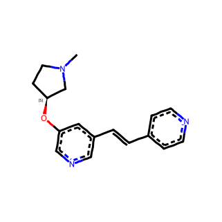 CN1CC[C@H](Oc2cncc(C=Cc3ccncc3)c2)C1